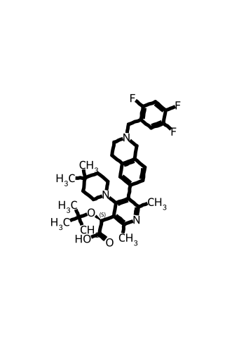 Cc1nc(C)c([C@H](OC(C)(C)C)C(=O)O)c(N2CCC(C)(C)CC2)c1-c1ccc2c(c1)CCN(Cc1cc(F)c(F)cc1F)C2